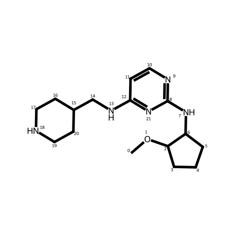 COC1CCCC1Nc1nccc(NCC2CCNCC2)n1